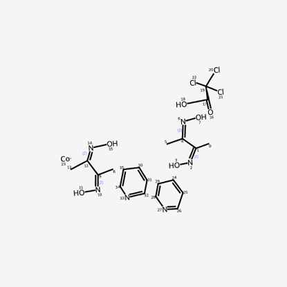 CC(=N/O)/C(C)=N\O.CC(=N/O)/C(C)=N\O.O=C(O)C(Cl)(Cl)Cl.[Co].c1ccncc1.c1ccncc1